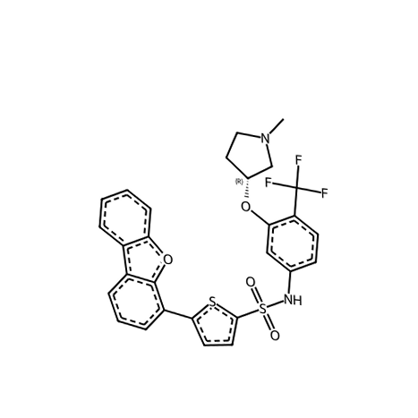 CN1CC[C@@H](Oc2cc(NS(=O)(=O)c3ccc(-c4cccc5c4oc4ccccc45)s3)ccc2C(F)(F)F)C1